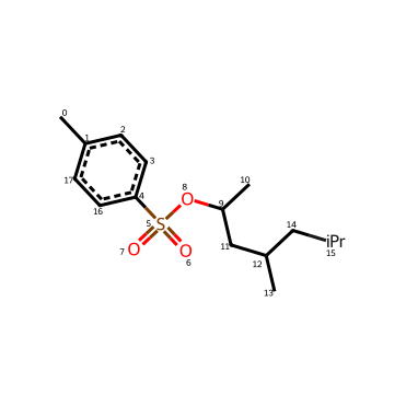 Cc1ccc(S(=O)(=O)OC(C)CC(C)CC(C)C)cc1